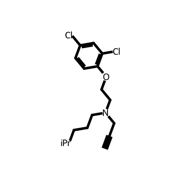 C#CCN(CCCC(C)C)CCOc1ccc(Cl)cc1Cl